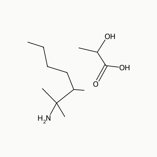 CC(O)C(=O)O.CCCCC(C)C(C)(C)N